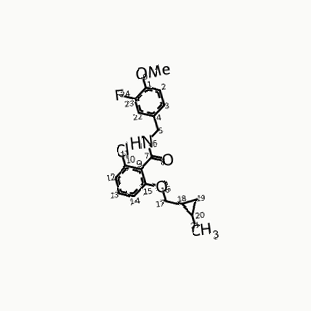 COc1ccc(CNC(=O)c2c(Cl)cccc2OCC2CC2C)cc1F